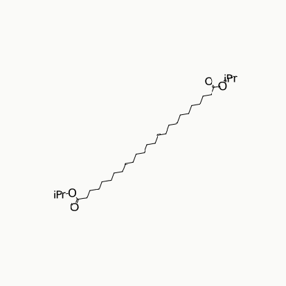 CC(C)OC(=O)CCCCCCCCCCCCCCCCCCCCCCCC(=O)OC(C)C